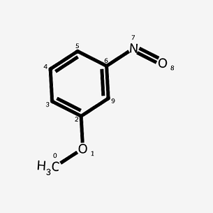 COc1cccc(N=O)c1